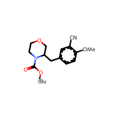 COc1ccc(CC2COCCN2C(=O)OC(C)(C)C)cc1C#N